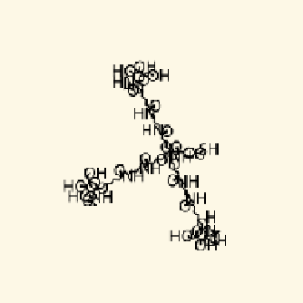 CC(=O)NC1C(OCCCCC(=O)NCCCNC(=O)CCOCC(COCCC(=O)NCCCNC(=O)CCCCOC2OC(CO)C(O)C(O)C2NC(C)=O)(COCCC(=O)NCCCNC(=O)CCCCOC2OC(CO)C(O)C(O)C2NC(C)=O)NC(=O)C2CCC(OS)CC2)OC(CO)C(O)C1O